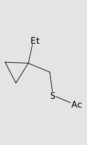 CCC1(CSC(C)=O)CC1